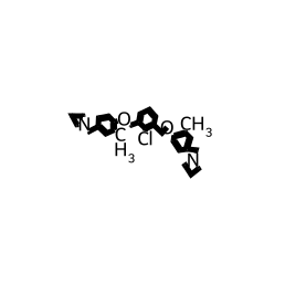 Cc1cc(CN2CCC2)ccc1OCc1cccc(COc2ccc(CN3CCC3)cc2C)c1Cl